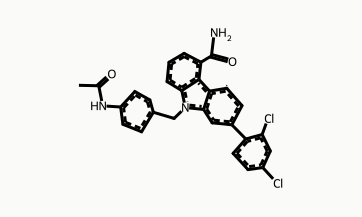 CC(=O)Nc1ccc(Cn2c3cc(-c4ccc(Cl)cc4Cl)c[c]c3c3c(C(N)=O)cccc32)cc1